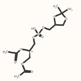 CC(=O)OC[C@H](COP(=O)(O)OCC1COC(C)(C)O1)OC(C)=O